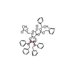 CC(=O)OC[C@H]1OC(O)[C@@H](OP(OCc2ccccc2)OC(C)c2ccccc2)[C@@H](OP(OCc2ccccc2)OCc2ccccc2)[C@@H]1OP(OCc1ccccc1)OCc1ccccc1